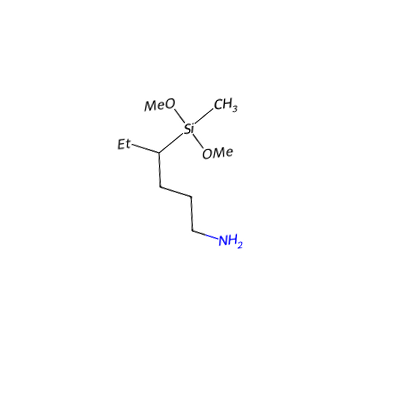 CCC(CCCN)[Si](C)(OC)OC